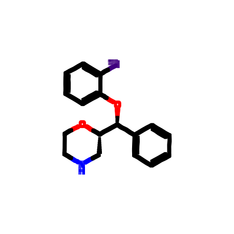 [123I]c1ccccc1O[C@@H](c1ccccc1)[C@@H]1CNCCO1